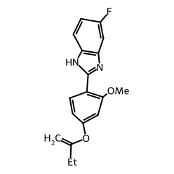 C=C(CC)Oc1ccc(-c2nc3cc(F)ccc3[nH]2)c(OC)c1